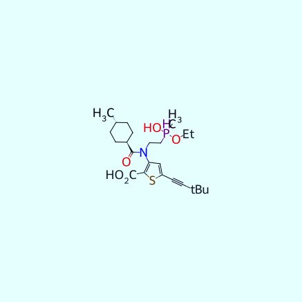 CCO[PH](C)(O)CCN(c1cc(C#CC(C)(C)C)sc1C(=O)O)C(=O)[C@H]1CC[C@H](C)CC1